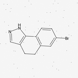 Brc1ccc2c(c1)CCc1cn[nH]c1-2